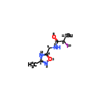 Cc1noc(CNC(=O)C(I)C(C)(C)C)n1